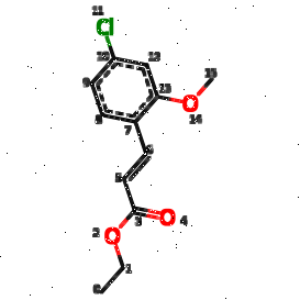 CCOC(=O)C=Cc1ccc(Cl)cc1OC